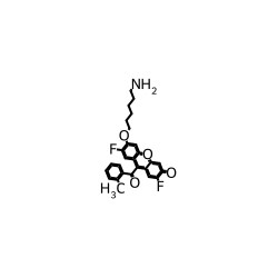 Cc1ccccc1C(=O)c1c2cc(F)c(=O)cc-2oc2cc(OCCCCCCN)c(F)cc12